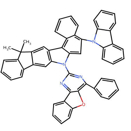 CC1(C)c2ccccc2-c2cc3c(cc21)c1c2ccccc2c(-n2c4ccccc4c4ccccc42)cc1n3-c1nc(-c2ccccc2)c2oc3ccccc3c2n1